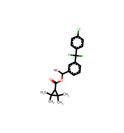 CC1(C)C(C(=O)OC(C#N)c2cccc(C(F)(F)c3ccc(Cl)cc3)c2)C1(C)C